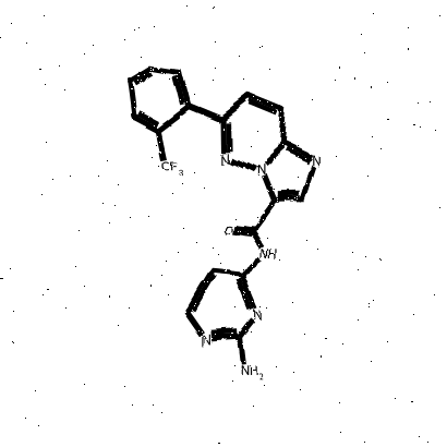 Nc1nccc(NC(=O)c2cnc3ccc(-c4ccccc4C(F)(F)F)nn23)n1